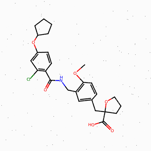 COc1ccc(CC2(C(=O)O)CCCO2)cc1CNC(=O)c1ccc(OC2CCCC2)cc1Cl